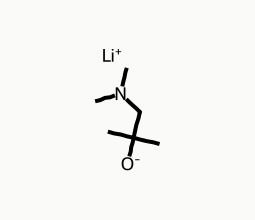 CN(C)CC(C)(C)[O-].[Li+]